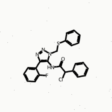 O=C(Nc1c(-c2ccccc2F)nnn1CSc1ccccc1)C(Cl)c1ccccc1